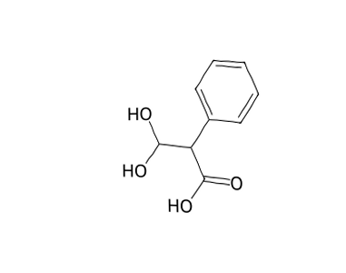 O=C(O)C(c1ccccc1)C(O)O